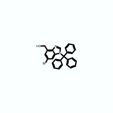 OCc1cc(Br)cc2c1ncn2C(c1ccccc1)(c1ccccc1)c1ccccc1